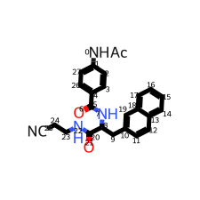 CC(=O)Nc1ccc(C(=O)NC(Cc2ccc3ccccc3c2)C(=O)NCCC#N)cc1